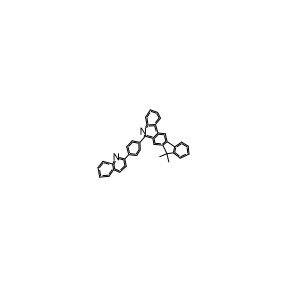 CC1(C)c2ccccc2-c2cc3c(cc21)c(-c1ccc(-c2ccc4ccccc4n2)cc1)nc1ccccc13